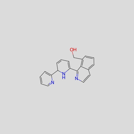 OCc1cccc2ccnc(C3=CC=CC(c4ccccn4)N3)c12